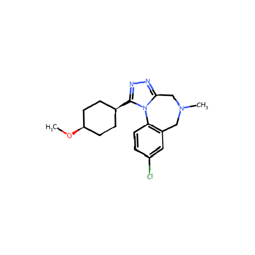 CO[C@H]1CC[C@@H](c2nnc3n2-c2ccc(Cl)cc2CN(C)C3)CC1